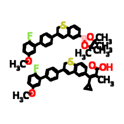 COc1ccc(F)c(-c2ccc(C3=Cc4cc(/C(=C(/C)C(=O)O)C5CC5)ccc4SC3)cc2)c1.COc1ccc(F)c(-c2ccc(C3=Cc4cc(B5OC(C)(C)C(C)(C)O5)ccc4SC3)cc2)c1